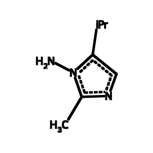 Cc1ncc(C(C)C)n1N